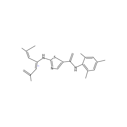 C=C(C)/C=C(\C=C(C)C)Nc1ncc(C(=C)Nc2c(C)cc(C)cc2C)s1